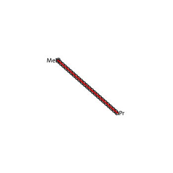 CCCOCCOCCOCCOCCOCCOCCOCCOCCOCCOCCOCCOCCOCCOCCOCCOCCOCCOCCOCCOCCOCCOCCOCCOCCOCCOCCOCCOCCOCCOCCOCCOCCOCCOCCOCCOCCOCCOCCOCCOCCOCCOCCOCCOCCOC(=O)NC